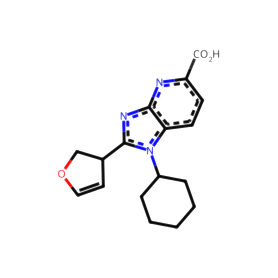 O=C(O)c1ccc2c(n1)nc(C1C=COC1)n2C1CCCCC1